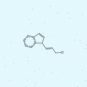 ClCC=CC1C=Cc2[c]cccc21